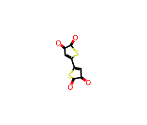 O=C1C=C(C2=CC(=O)C(=O)S2)SC1=O